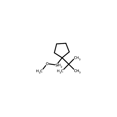 CO[SiH2]C1(C(C)(C)C)CCCC1